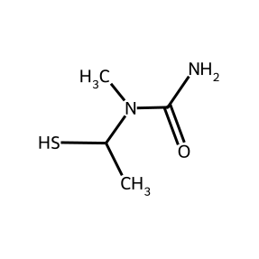 CC(S)N(C)C(N)=O